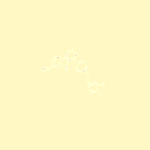 COc1ccc2c(c1)[nH]c1c(N3CCN(CCc4ccc(F)c(F)c4)CC3)ncnc12